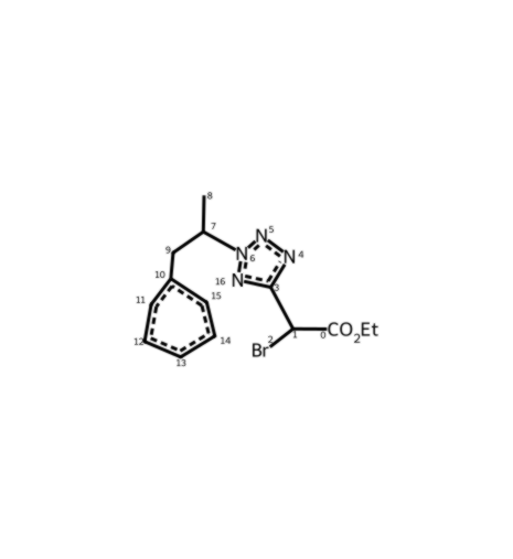 CCOC(=O)C(Br)c1nnn(C(C)Cc2ccccc2)n1